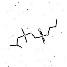 CCCOS(=O)(=O)CO[Si](C)(C)CC(C)C